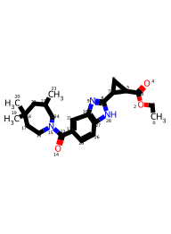 CCOC(=O)C1CC1c1nc2cc(C(=O)N3CCC(C)(C)CC(C)C3)ccc2[nH]1